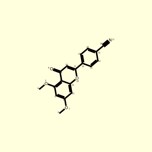 COc1cc(OC)c2c(=O)cc(-c3ccc(C#N)cc3)oc2c1